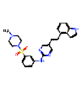 CN1CCN(S(=O)(=O)c2cccc(Nc3ncc(/C=C/c4cccc5[nH]ccc45)cn3)c2)CC1